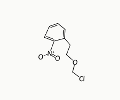 O=[N+]([O-])c1ccccc1CCOCCl